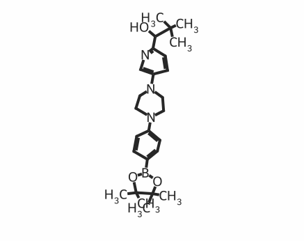 CC(C)(C)C(O)c1ccc(N2CCN(c3ccc(B4OC(C)(C)C(C)(C)O4)cc3)CC2)cn1